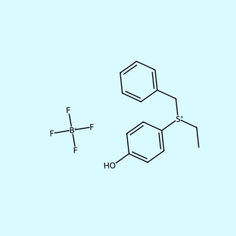 CC[S+](Cc1ccccc1)c1ccc(O)cc1.F[B-](F)(F)F